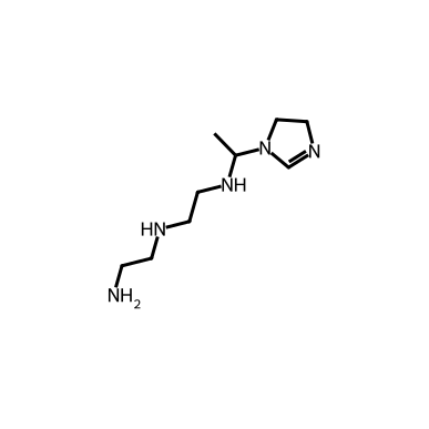 CC(NCCNCCN)N1C=NCC1